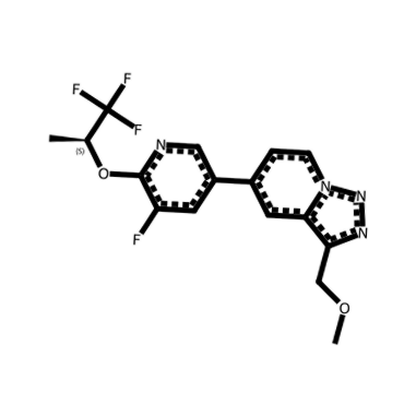 COCc1nnn2ccc(-c3cnc(O[C@@H](C)C(F)(F)F)c(F)c3)cc12